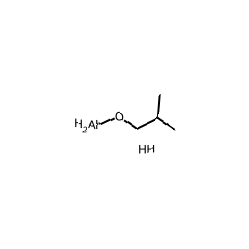 CC(C)C[O][AlH2].[HH]